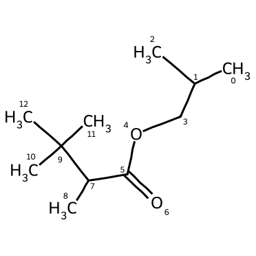 CC(C)COC(=O)C(C)C(C)(C)C